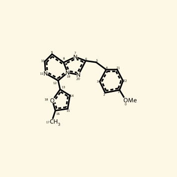 COc1ccc(Cc2nc3ccnc(-c4ccc(C)o4)n3n2)cc1